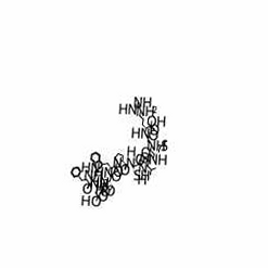 CSCC[C@H](NC(=O)[C@@H](NC(=O)[C@H](CS)NC(=O)[C@@H]1CCCN1C(=O)[C@H](Cc1c[nH]c2ccccc12)NC(=O)[C@H](CO)NC(=O)[C@H](CC(=O)O)NC(=O)[C@@H](N)Cc1ccccc1)C(C)C)C(=O)NCC(=O)N[C@@H](CCCNC(=N)N)C(=O)O